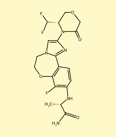 C[C@H](Nc1ccc2c(c1F)OCCn1cc(N3C(=O)COC[C@H]3C(F)F)nc1-2)C(N)=O